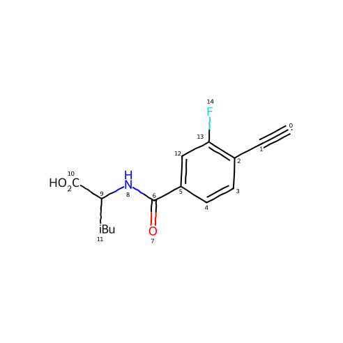 [C]#Cc1ccc(C(=O)NC(C(=O)O)C(C)CC)cc1F